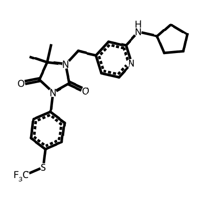 CC1(C)C(=O)N(c2ccc(SC(F)(F)F)cc2)C(=O)N1Cc1ccnc(NC2CCCC2)c1